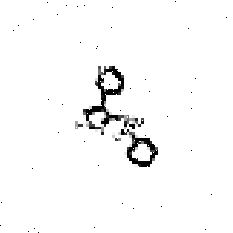 O=S(=O)(Nc1n[nH]cc1-c1cccnc1)c1ccccc1